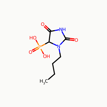 CCCCN1C(=O)NC(=O)C1P(=O)(O)O